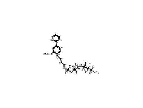 CCCCCCCCc1cc(-c2ncccn2)ccc1OCCCCC(F)(F)OC(F)(F)C(F)(F)OC(F)(F)C(F)(F)C(F)(F)C(F)(F)F